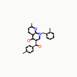 Cc1ccc(C(=O)c2cn(Cc3ccccc3C)c3nc(C)ccc3c2=O)cc1